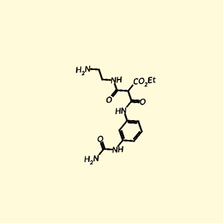 CCOC(=O)C(C(=O)NCCN)C(=O)Nc1cccc(NC(N)=O)c1